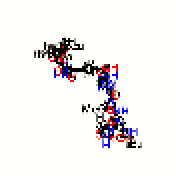 COC(=O)CN(CCNC(=O)CN(CCNC(=O)OC(C)(C)C)C(=O)Cn1cc(C)c(=O)[nH]c1=O)C(=O)Cn1cnc2c(NC(O)OCc3ccc(C#Cc4cn([C@H]5CC(O[Si](C)(C)C(C)(C)C)[C@@H](CO[Si](C)(C)C(C)(C)C)O5)c(=O)[nH]c4=O)cc3)ncnc21